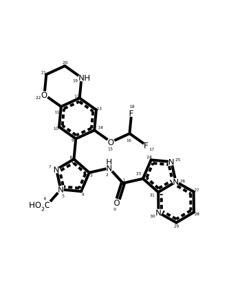 O=C(Nc1cn(C(=O)O)nc1-c1cc2c(cc1OC(F)F)NCCO2)c1cnn2cccnc12